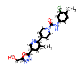 Cc1ccc(NC(=O)N2CC=C(c3ncc(-c4nnc(CO)o4)cc3C)CC2)cc1Cl